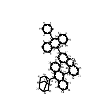 c1ccc(-c2c3ccccc3c(-c3ccc4c(c3)oc3cccc(-c5c6ccccc6c(C6C7CC8CC(C7)CC6C8)c6ccccc56)c34)c3ccccc23)cc1